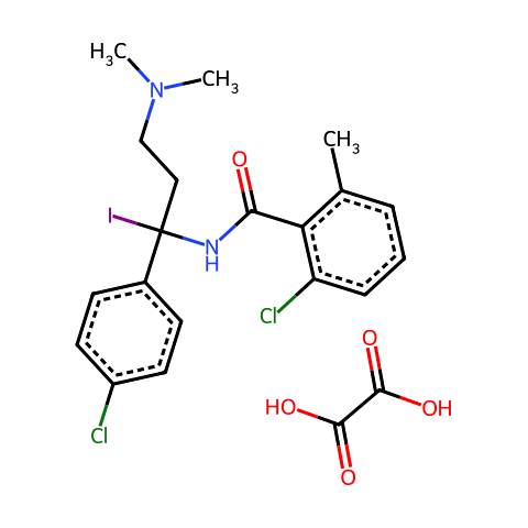 Cc1cccc(Cl)c1C(=O)NC(I)(CCN(C)C)c1ccc(Cl)cc1.O=C(O)C(=O)O